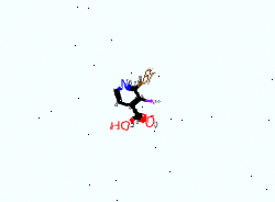 O=C(O)c1ccnc(Br)c1I